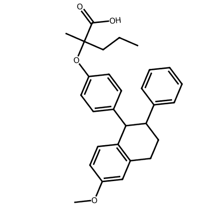 CCCC(C)(Oc1ccc(C2c3ccc(OC)cc3CCC2c2ccccc2)cc1)C(=O)O